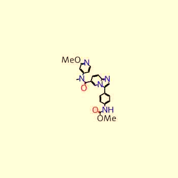 COC(=O)Nc1ccc(-c2cnc3ccc(C(=O)N(C)c4ccnc(OC)c4)cn23)cc1